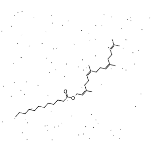 CCCCCCCCCCCC(=O)OCC=C(C)CCC=C(C)CCC=C(C)CCC=C(C)C